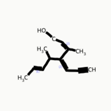 C#C/C=C(\C(C)=C/CO)C(C)/C=C/C